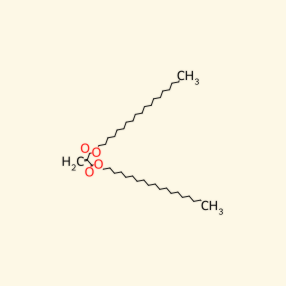 C=C(C(=O)OCCCCCCCCCCCCCCCCCCC)C(=O)OCCCCCCCCCCCCCCCCCCC